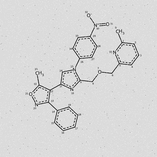 Cc1cccc(COCc2nc(-c3c(-c4ccccc4)noc3C)cn2-c2ccc([N+](=O)[O-])cc2)n1